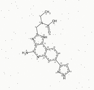 CCN(Cc1nc2c(N)nc3cc(-c4cc[nH]n4)ccc3c2[nH]1)C(=O)O